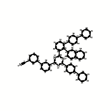 N#Cc1cccc(-c2cccc(-c3nc(-c4ccc(-c5ccccc5)cc4)nc(-c4cccc(-c5ccc(-c6ccccc6)cc5)c4-c4ccc5ccccc5c4)n3)c2)c1